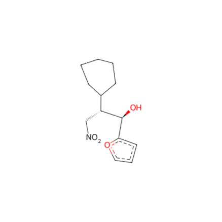 O=[N+]([O-])C[C@H](C1CCCCC1)[C@@H](O)c1ccco1